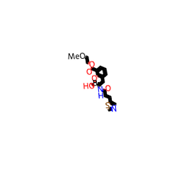 COCCOC(=O)c1cccc2c1OB(O)[C@@H](NC(=O)CCc1cncs1)C2